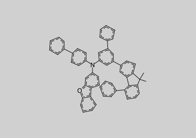 CC1(C)c2ccc(-c3cc(-c4ccccc4)cc(N(c4ccc(-c5ccccc5)cc4)c4ccc5c(c4)oc4ccccc45)c3)cc2-c2c(-c3ccccc3)cccc21